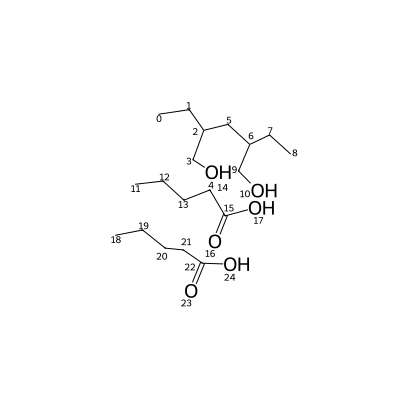 CCC(CO)CC(CC)CO.CCCCC(=O)O.CCCCC(=O)O